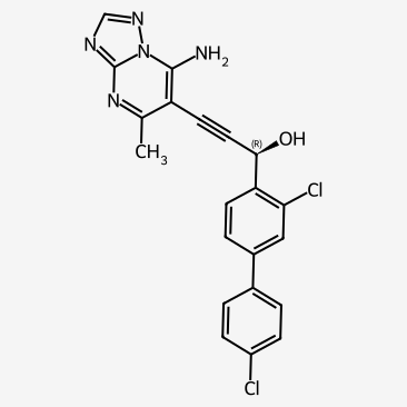 Cc1nc2ncnn2c(N)c1C#C[C@@H](O)c1ccc(-c2ccc(Cl)cc2)cc1Cl